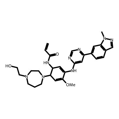 C=CC(=O)NC1C=C(Nc2cc(-c3ccc4cnn(C)c4c3)ncn2)C(OC)=CC1N1CCCN(CCO)CC1